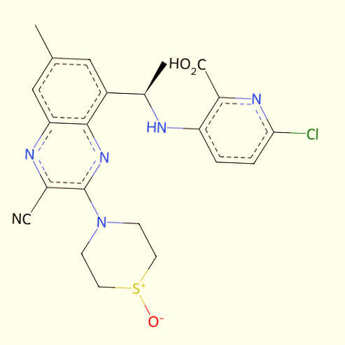 Cc1cc([C@@H](C)Nc2ccc(Cl)nc2C(=O)O)c2nc(N3CC[S+]([O-])CC3)c(C#N)nc2c1